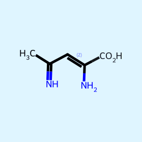 CC(=N)/C=C(\N)C(=O)O